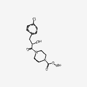 CC(C)(C)OC(=O)N1CCN(C(=O)C(O)Cc2ccc(Cl)cc2)CC1